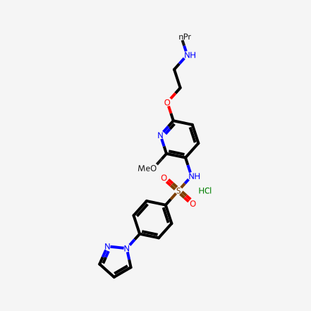 CCCNCCOc1ccc(NS(=O)(=O)c2ccc(-n3cccn3)cc2)c(OC)n1.Cl